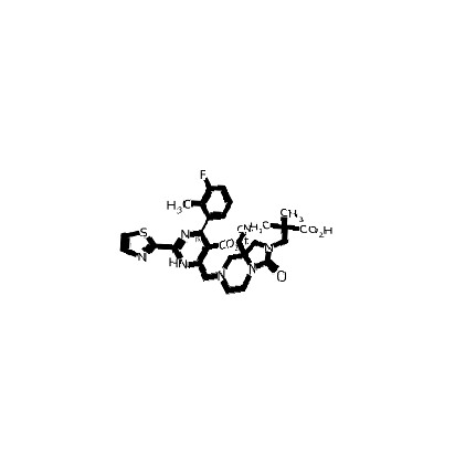 CCOC(=O)C1=C(CN2CCN3C(=O)N(CC(C)(C)C(=O)O)CC3(CC#N)C2)NC(c2nccs2)=N[C@H]1c1cccc(F)c1C